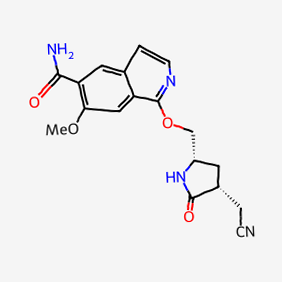 COc1cc2c(OC[C@@H]3C[C@H](CC#N)C(=O)N3)nccc2cc1C(N)=O